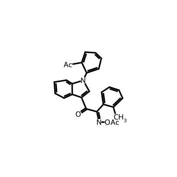 CC(=O)O/N=C(/C(=O)c1cn(-c2ccccc2C(C)=O)c2ccccc12)c1ccccc1C